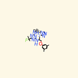 CCCCn1cnnc1.Cc1cc(C)cc(OCC(C)Nc2nc(N)nc(C(C)(C)F)n2)c1